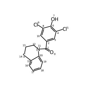 O=C(c1cc(Cl)c(O)c(Cl)c1)N1CCSc2ccccc21